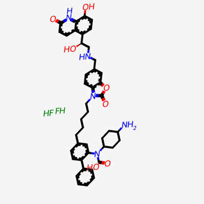 F.F.NC1CCC(N(C(=O)O)c2cc(CCCCCn3c(=O)oc4cc(CNC[C@@H](O)c5ccc(O)c6[nH]c(=O)ccc56)ccc43)ccc2-c2ccccc2)CC1